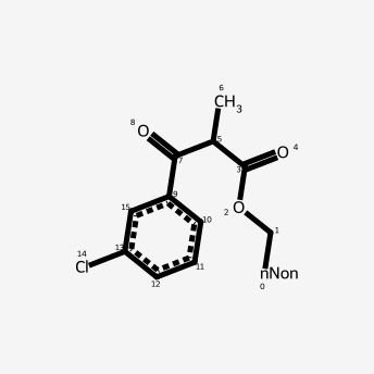 CCCCCCCCCCOC(=O)C(C)C(=O)c1cccc(Cl)c1